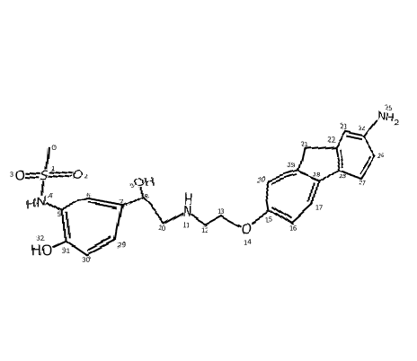 CS(=O)(=O)Nc1cc(C(O)CNCCOc2ccc3c(c2)Cc2cc(N)ccc2-3)ccc1O